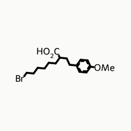 COc1ccc(CCC(CCCCCCBr)C(=O)O)cc1